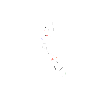 CC(C)(C)OC(=O)NC12CC(COS(=O)(=O)c3ccc(C(F)(F)F)cc3)(C1)C2